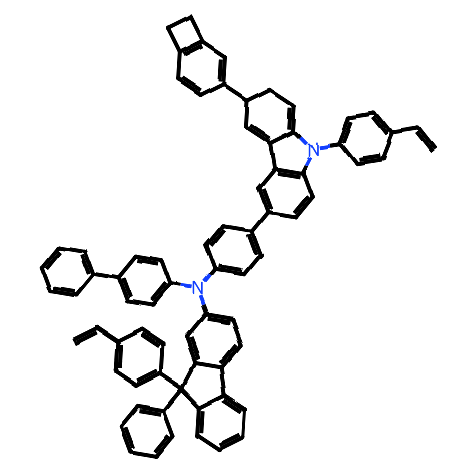 C=Cc1ccc(-n2c3c(c4cc(-c5ccc(N(c6ccc(-c7ccccc7)cc6)c6ccc7c(c6)C(c6ccccc6)(c6ccc(C=C)cc6)c6ccccc6-7)cc5)ccc42)=CC(c2ccc4c(c2)CC4)CC=3)cc1